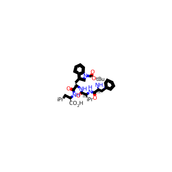 CC(C)C[C@H](NC(=O)[C@H](Cc1cn(C(=O)OC(C)(C)C)c2ccccc12)NC(=O)[C@@H](NC(=O)[C@@H](N)Cc1ccccc1)C(C)C)C(=O)O